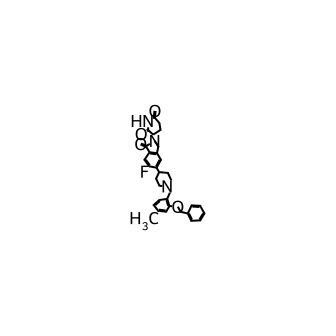 Cc1ccc(CN2CCC(c3cc4c(cc3F)C(=O)N(C3CCC(=O)NC3=O)C4)CC2)c(OCc2ccccc2)c1